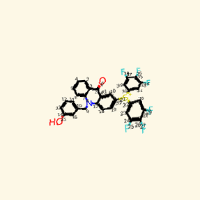 O=c1c2ccccc2n(Cc2cccc(O)c2)c2ccc([S+](c3cc(F)c(F)c(F)c3)c3cc(F)c(F)c(F)c3)cc12